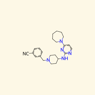 N#Cc1cccc(CN2CCC(Nc3nccc(N4CCCCCC4)n3)CC2)c1